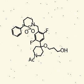 CC(=O)N1CCC(OCCCO)(c2cc(F)c(CN3CCC[C@H](c4ccccc4)S3(=O)=O)cc2F)CC1